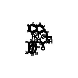 CC(Cc1ccc2ccccc2n1)(NC(=O)OC1C2CC3CC(C2)CC1C3)C(=O)O